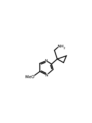 COc1cnc(C2(CN)CC2)cn1